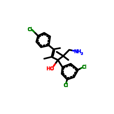 CC(=C(C)C(O)(c1cc(Cl)cc(Cl)c1)C(C)(C)CN)c1ccc(Cl)cc1